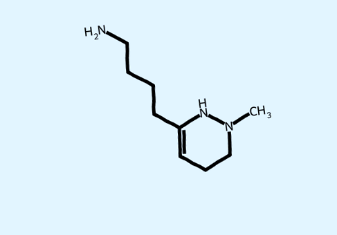 CN1CCC=C(CCCCN)N1